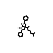 CC(C)=CCCC(C)C(CCc1ccccc1)(CCc1ccccc1)C(O)O